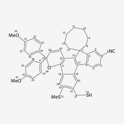 [C-]#[N+]c1ccc2c(c1)C1(CCCCCCC1)c1c3c(c4cc(SC)c(CS)cc4c1-2)OC(c1ccc(OC)cc1)(c1ccc(OC)cc1)C=C3